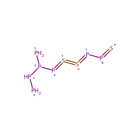 PPP(P)P=S=S=PP=S